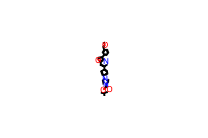 COCc1cccc(-c2coc3cc(-c4ccc(N5CCN(C(=O)OC(C)(C)C)CC5)cc4)cnc23)c1